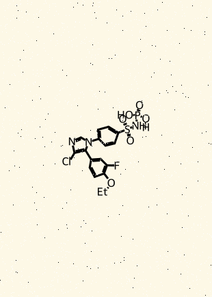 CCOc1ccc(-c2c(Cl)ncn2-c2ccc(S(=O)(=O)NP(=O)(O)O)cc2)cc1F